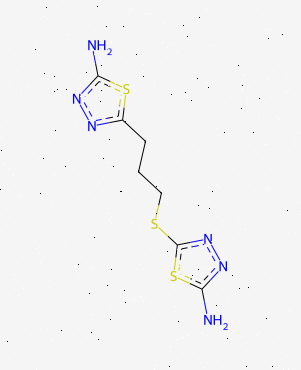 Nc1nnc(CCCSc2nnc(N)s2)s1